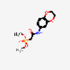 COP(=O)(CC(=O)Nc1ccc2c(c1)OCCO2)OC